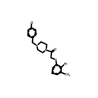 CC(=O)c1c(C)cccc1OCC(=O)N1CCN(Cc2ccc(Cl)cc2)CC1